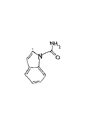 NC(=O)n1[c]cc2ccccc21